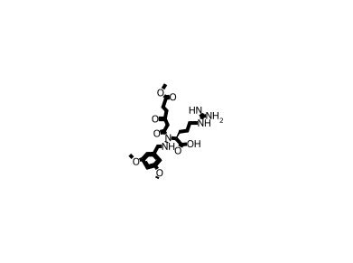 COC(=O)CCC(=O)CC(=O)N(NCc1cc(OC)cc(OC)c1)[C@@H](CCCNC(=N)N)C(=O)O